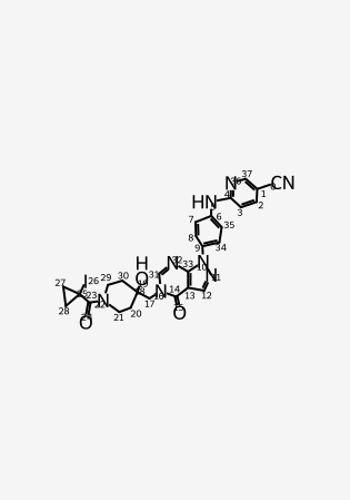 N#Cc1ccc(Nc2ccc(-n3ncc4c(=O)n(CC5(O)CCN(C(=O)C6(I)CC6)CC5)cnc43)cc2)nc1